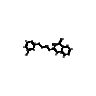 O=c1[nH]c(COCCc2cccc(F)c2)nc2ncccc12